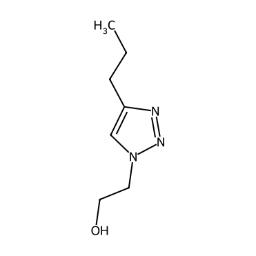 CCCc1cn(CCO)nn1